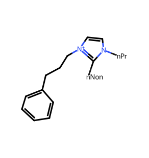 CCCCCCCCCc1n(CCC)cc[n+]1CCCc1ccccc1